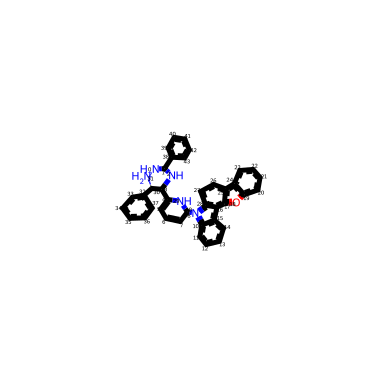 NC(NC(C1=CC=CC(n2c3ccccc3c3c4oc5ccccc5c4ccc32)N1)[C@@H](N)c1ccccc1)c1ccccc1